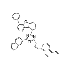 C=C/C=C\C=C/CC(/C=C\Cc1nc(-c2ccc3ccccc3c2)nc(-c2cccc3oc4c(-c5ccccc5)cccc4c23)n1)=C/C=C